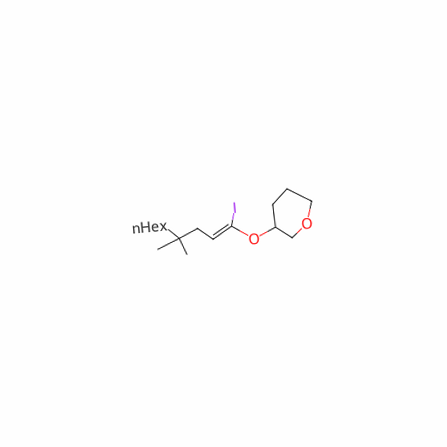 CCCCCCC(C)(C)CC=C(I)OC1CCCOC1